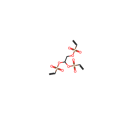 C=CS(=O)(=O)OCC(OS(=O)(=O)C=C)OS(=O)(=O)C=C